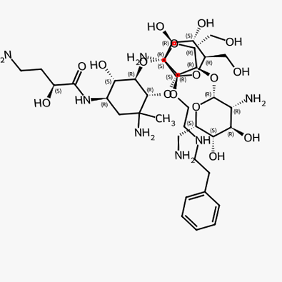 CC1(N)C[C@@H](NC(=O)[C@@H](O)CCN)[C@H](O)[C@@H](O[C@@H]2O[C@H](CO)[C@@H](O[C@H]3O[C@@H](CN)[C@@H](O)[C@H](O)[C@H]3N)[C@H]2OCCNCCc2ccccc2)[C@@H]1O[C@H]1O[C@H](CO)[C@@H](O)[C@H](O)[C@H]1N